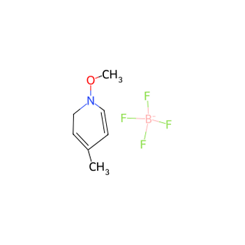 CON1C=CC(C)=CC1.F[B-](F)(F)F